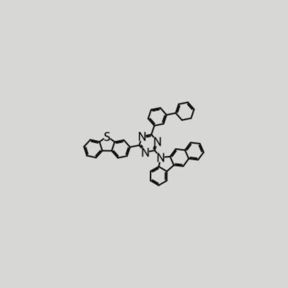 C1=CCCC(c2cccc(-c3nc(-c4ccc5c(c4)sc4ccccc45)nc(-n4c5ccccc5c5cc6ccccc6cc54)n3)c2)=C1